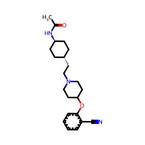 CC(=O)N[C@H]1CC[C@H](CCN2CCC(Oc3ccccc3C#N)CC2)CC1